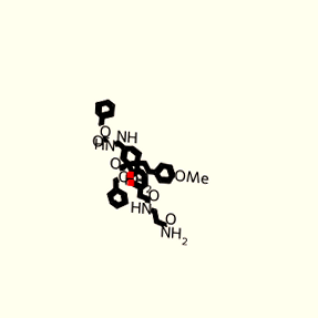 COc1ccc(CCC2(c3ccc(CC(=O)NCCC(N)=O)cc3)C=CC(C(=N)NC(=O)OCc3ccccc3)=CC2(C(N)=O)C(=O)OCc2ccccc2)cc1